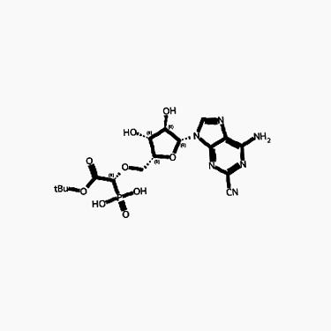 CC(C)(C)OC(=O)[C@H](OC[C@H]1O[C@@H](n2cnc3c(N)nc(C#N)nc32)[C@H](O)[C@H]1O)P(=O)(O)O